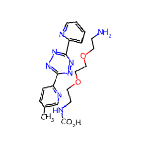 Cc1ccc(-c2nnc(-c3ccccn3)nn2)nc1.NCCOCCOCCNC(=O)O